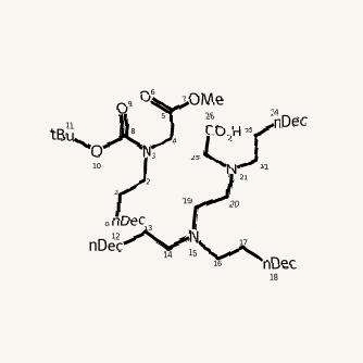 CCCCCCCCCCCCN(CC(=O)OC)C(=O)OC(C)(C)C.CCCCCCCCCCCCN(CCCCCCCCCCCC)CCN(CCCCCCCCCCCC)CC(=O)O